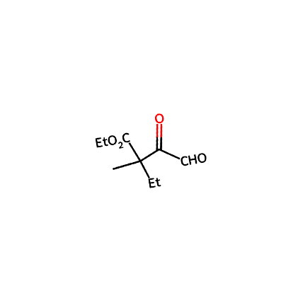 CCOC(=O)C(C)(CC)C(=O)C=O